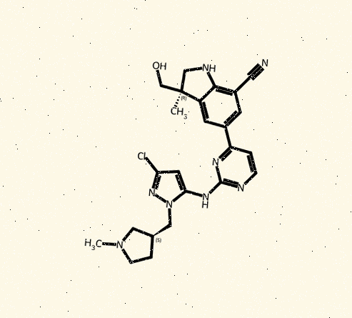 CN1CC[C@H](Cn2nc(Cl)cc2Nc2nccc(-c3cc(C#N)c4c(c3)[C@@](C)(CO)CN4)n2)C1